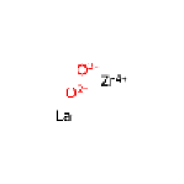 [La].[O-2].[O-2].[Zr+4]